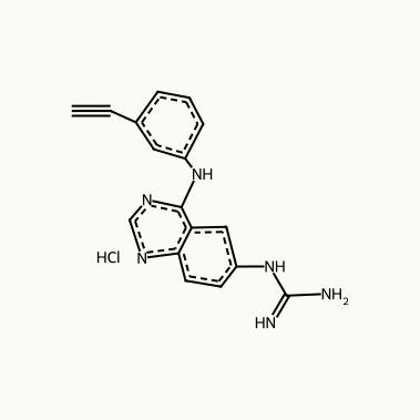 C#Cc1cccc(Nc2ncnc3ccc(NC(=N)N)cc23)c1.Cl